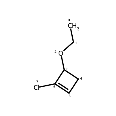 CCOC1CC=C1Cl